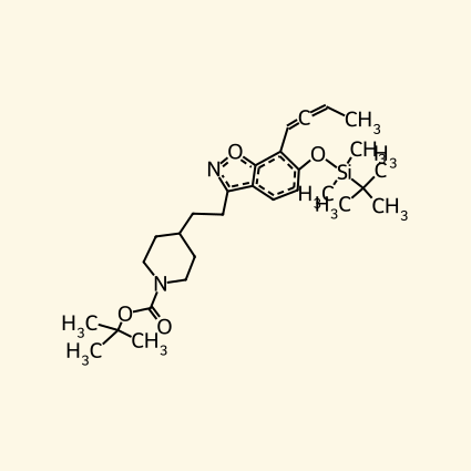 CC=C=Cc1c(O[Si](C)(C)C(C)(C)C)ccc2c(CCC3CCN(C(=O)OC(C)(C)C)CC3)noc12